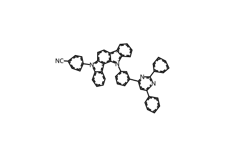 N#Cc1ccc(-n2c3ccccc3c3c2ccc2c4ccccc4n(-c4cccc(-c5cc(-c6ccccc6)nc(-c6ccccc6)n5)c4)c23)cc1